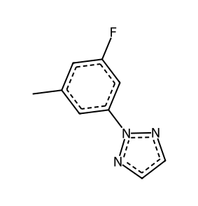 Cc1cc(F)cc(-n2nccn2)c1